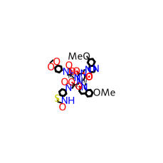 COc1ccc2ccc(=O)n(C[C@@H](C(N)=O)N(C[C@H]3CN(c4ccc5c(c4)NC(=O)CS5)C(=O)O3)N(C[C@H]3CN(c4ccc5c(c4)OCCO5)C(=O)O3)C(=O)CCn3c(=O)cnc4ccc(OC)cc43)c2c1